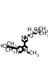 CCn1cc(-c2cnn(COCC[Si](C)(C)C)c2)c2cc(C#CC(C)(C)O)ncc21